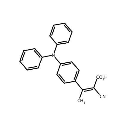 CC(=C(C#N)C(=O)O)c1ccc(N(c2ccccc2)c2ccccc2)cc1